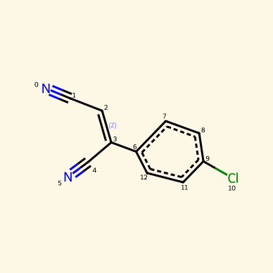 N#C/C=C(\C#N)c1ccc(Cl)cc1